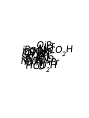 CC[C@H](C)[C@H](NC(=O)[C@H](CC(C)C)NC(=O)[C@H](CC(=O)O)NC(=O)[C@@H](NC(=O)[C@H](CC(C)C)NC(=O)[C@H](CC(C)C)NC(=O)[C@H](CCC(=O)O)NC)C(C)C)C(=O)O